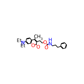 CCN(CC)c1ccc2c(C)c(CCOC(=O)NCCCc3ccccc3)c(=O)oc2c1